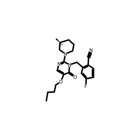 CCCCOc1cnc(N2CCC[C@H](C)C2)n(Cc2cc(F)ccc2C#N)c1=O